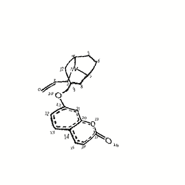 C=CCN1C2CCC1CC(Oc1ccc3ccc(=O)oc3c1)C2